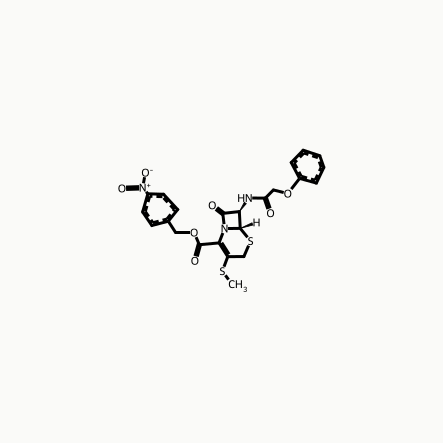 CSC1=C(C(=O)OCc2ccc([N+](=O)[O-])cc2)N2C(=O)[C@@H](NC(=O)COc3ccccc3)[C@@H]2SC1